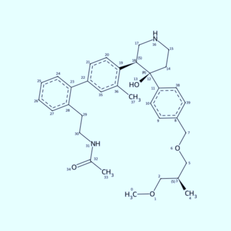 COC[C@H](C)COCc1ccc([C@@]2(O)CCNC[C@@H]2c2ccc(-c3ccccc3CCNC(C)=O)cc2C)cc1